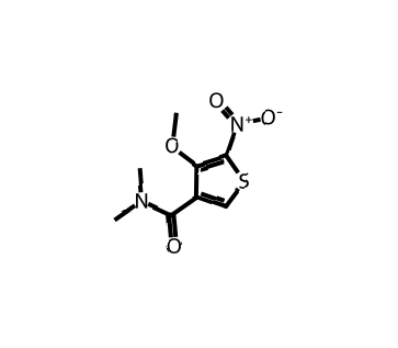 COc1c(C(=O)N(C)C)csc1[N+](=O)[O-]